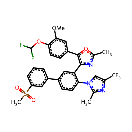 COc1cc(-c2oc(C)nc2-c2cc(-c3cccc(S(C)(=O)=O)c3)ccc2-n2cc(C(F)(F)F)nc2C)ccc1OC(F)F